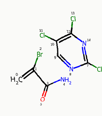 C=C(Br)C(N)=O.Clc1ncc(Cl)c(Cl)n1